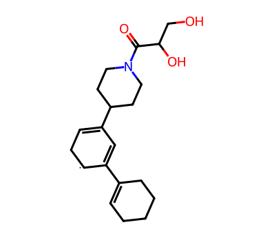 O=C(C(O)CO)N1CCC(C2=CC[CH]C(C3=CCCCC3)=C2)CC1